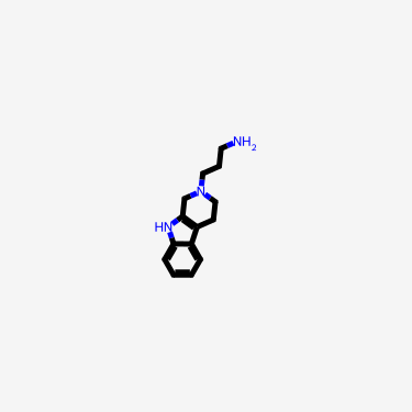 NCCCN1CCc2c([nH]c3ccccc23)C1